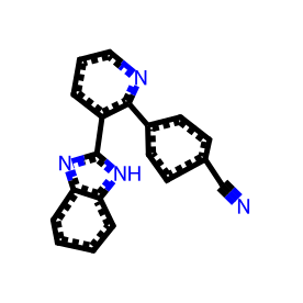 N#Cc1ccc(-c2ncccc2-c2nc3ccccc3[nH]2)cc1